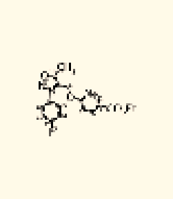 CCOC(=O)c1ccc(OCc2c(-c3ccc(F)cc3)noc2C)nn1